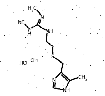 C/N=C(\NC#N)NCCSCc1nc[nH]c1C.Cl.Cl